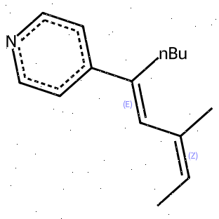 C/C=C(C)\C=C(/CCCC)c1ccncc1